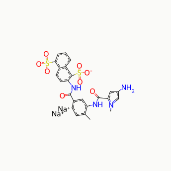 Cc1ccc(C(=O)Nc2ccc3c(S(=O)(=O)[O-])cccc3c2S(=O)(=O)[O-])cc1NC(=O)c1cc(N)cn1C.[Na+].[Na+]